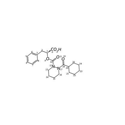 O=C(O)[C@H](Cc1ccccc1)OC(=O)N1CCCCN1C(=O)C1CCCCC1